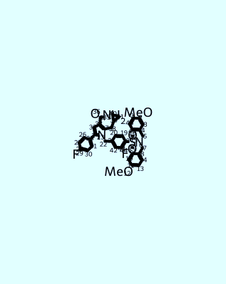 COc1ccc(CN(Cc2ccc(OC)cc2)S(=O)(=O)c2ccc(Cn3c(-c4ccc(F)cc4)cc(C(N)=O)c3CC3CC3)cc2F)cc1